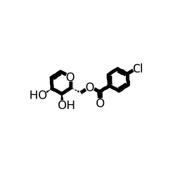 O=C(OC[C@H]1OC=C[C@@H](O)[C@@H]1O)c1ccc(Cl)cc1